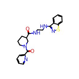 O=C(NCCNc1nsc2ccccc12)C1CCCN(C(=O)c2ccccn2)C1